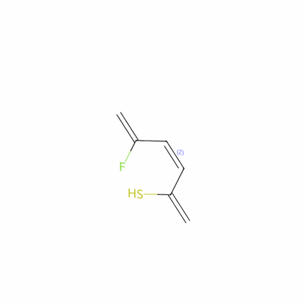 C=C(F)/C=C\C(=C)S